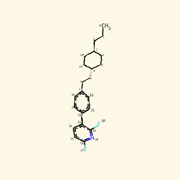 CCC[C@H]1CC[C@H](CCc2ccc(-c3ccc(F)nc3F)cc2)CC1